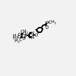 COC(=O)CC1CCC(Oc2ncc(B3OC(C)(C)C(C)(C)O3)cn2)CC1